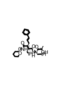 CC(C)C[C@@H](C(=O)NN(CC(C)C)C(=O)[C@@H](C)O)[C@H](CC=Cc1ccccc1)C(=O)NOC1CCCCO1